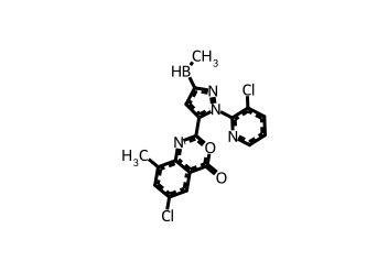 CBc1cc(-c2nc3c(C)cc(Cl)cc3c(=O)o2)n(-c2ncccc2Cl)n1